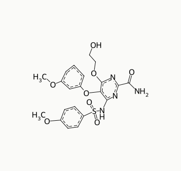 COc1ccc(S(=O)(=O)Nc2nc(C(N)=O)nc(OCCO)c2Oc2cccc(OC)c2)cc1